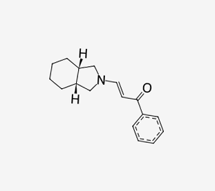 O=C(C=CN1C[C@H]2CCCC[C@H]2C1)c1ccccc1